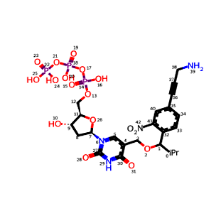 CC(C)C(OCc1cn([C@H]2C[C@H](O)[C@@H](COP(=O)(O)OP(=O)(O)OP(=O)(O)O)O2)c(=O)[nH]c1=O)c1ccc(C#CCN)cc1[N+](=O)[O-]